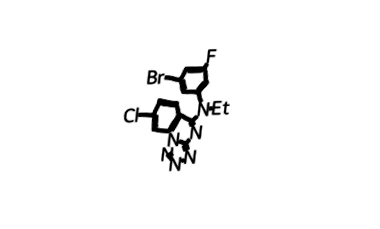 CCN(c1cc(F)cc(Br)c1)c1nc2nnnn2c2cc(Cl)ccc12